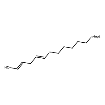 CCCCCCCCCCCCOC=CCC=CO